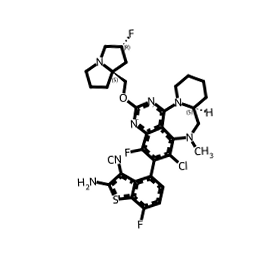 CN1C[C@@H]2CCCCN2c2nc(OC[C@@]34CCCN3C[C@H](F)C4)nc3c(F)c(-c4ccc(F)c5sc(N)c(C#N)c45)c(Cl)c1c23